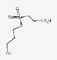 O=C(O)CCS(=O)(=O)OCCCO